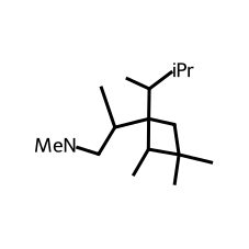 CNCC(C)C1(C(C)C(C)C)CC(C)(C)C1C